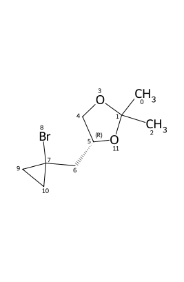 CC1(C)OC[C@@H](CC2(Br)CC2)O1